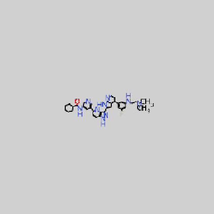 CN(C)CCNc1cc(F)cc(-c2ccnc3[nH]c(-c4n[nH]c5ccc(-c6cncc(NC(=O)C7CCCCC7)c6)nc45)cc23)c1